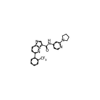 O=C(Nc1ccnc(N2CCCC2)c1)c1cnc2ccc(-c3ccccc3C(F)(F)F)nn12